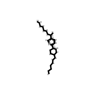 CCCCCCCC1CCC(c2ccc(C(C)CCCCCCC)cn2)CC1